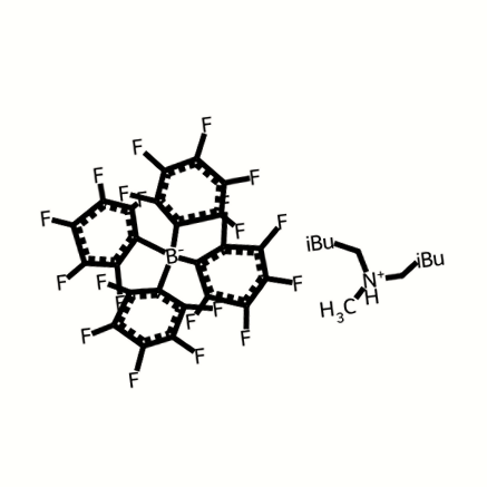 CCC(C)C[NH+](C)CC(C)CC.Fc1c(F)c(F)c([B-](c2c(F)c(F)c(F)c(F)c2F)(c2c(F)c(F)c(F)c(F)c2F)c2c(F)c(F)c(F)c(F)c2F)c(F)c1F